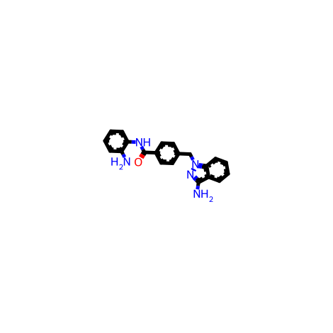 Nc1ccccc1NC(=O)c1ccc(Cn2nc(N)c3ccccc32)cc1